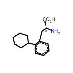 N[C@@H](Cc1ccccc1C1CCCCC1)C(=O)O